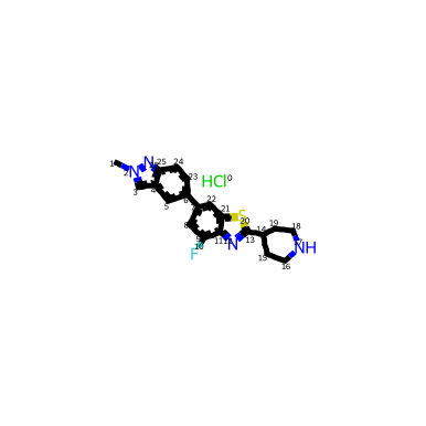 Cl.Cn1cc2cc(-c3cc(F)c4nc(C5CCNCC5)sc4c3)ccc2n1